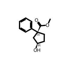 COC(=O)[C@@]1(c2ccccc2)CC[C@@H](O)C1